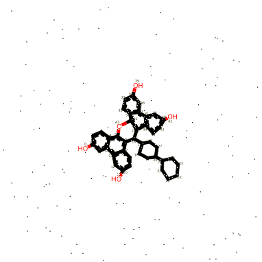 Oc1ccc2c3c(c4ccc(O)cc4c2c1)C(C1CCC(C2CCCCC2)CC1)c1c(c2ccc(O)cc2c2cc(O)ccc12)O3